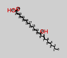 CCCCC=CCC=CCC(O)CCCCCCCCCCCCCC(=O)O